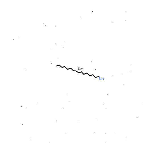 CCCCCCCCCCCCCCCC[NH-].[Na+]